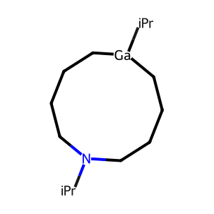 CC(C)N1CCC[CH2][Ga]([CH](C)C)[CH2]CCC1